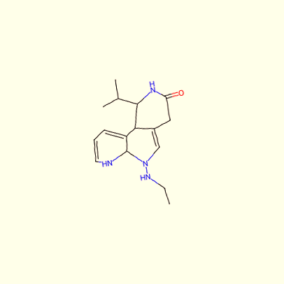 CCNN1C=C2CC(=O)NC(C(C)C)C2C2=CC=CNC21